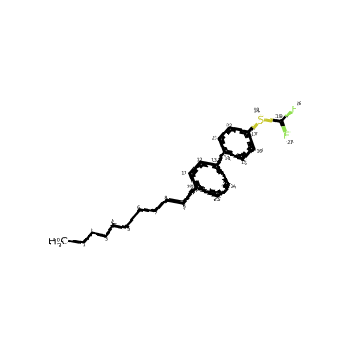 CCCCCCCCCCc1ccc(-c2ccc(SC(F)F)cc2)cc1